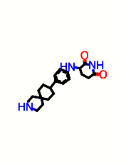 O=C1CCC(Nc2ccc(C3CCC4(CCNCC4)CC3)cc2)C(=O)N1